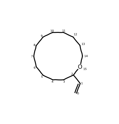 C=CC1CCCCCCCCCCCCO1